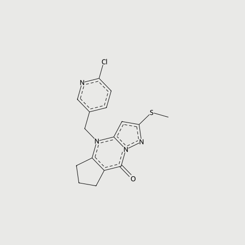 CSc1cc2n(Cc3ccc(Cl)nc3)c3c(c(=O)n2n1)CCC3